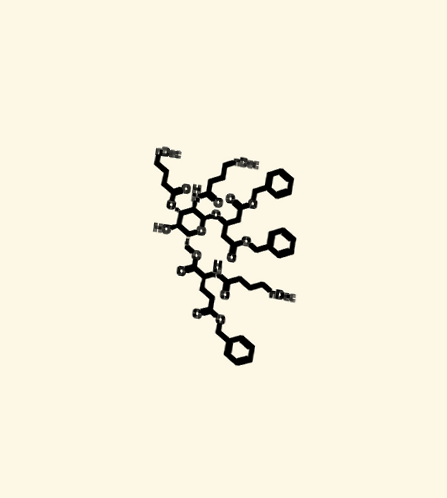 CCCCCCCCCCCCCC(=O)N[C@H]1[C@@H](OC(CC(=O)OCc2ccccc2)CC(=O)OCc2ccccc2)O[C@H](COC(=O)[C@H](CCC(=O)OCc2ccccc2)NC(=O)CCCCCCCCCCCCC)[C@@H](O)[C@@H]1OC(=O)CCCCCCCCCCCCC